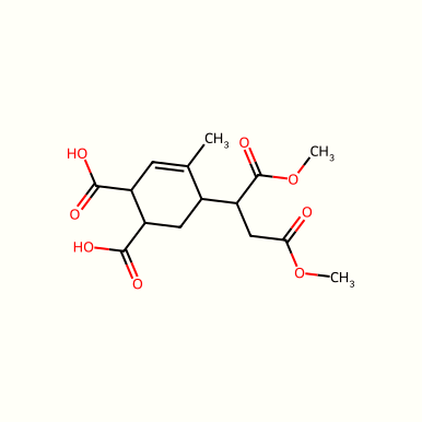 COC(=O)CC(C(=O)OC)C1CC(C(=O)O)C(C(=O)O)C=C1C